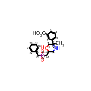 CC1(c2cccc(C(=O)O)c2)COC(CP(=O)(O)Cc2ccccc2)CN1